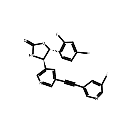 O=C1N[C@H](c2cncc(C#Cc3cncc(F)c3)c2)[C@@H](c2ccc(F)cc2F)O1